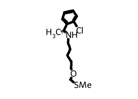 CSCOCCCCCN[C@H](C)c1ccccc1Cl